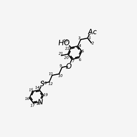 CC(=O)C(C)Cc1ccc(OCCCCSc2cccnc2)c(C)c1O